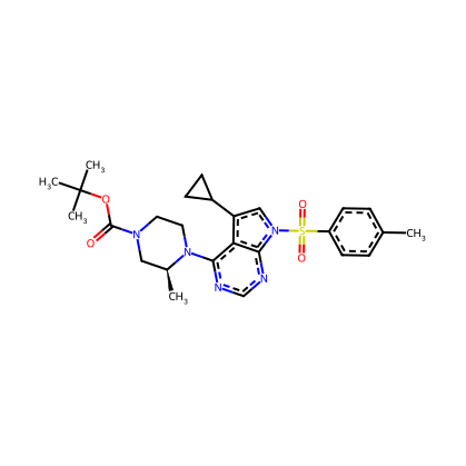 Cc1ccc(S(=O)(=O)n2cc(C3CC3)c3c(N4CCN(C(=O)OC(C)(C)C)C[C@@H]4C)ncnc32)cc1